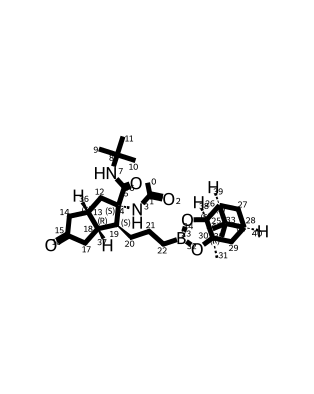 CC(=O)N[C@@]1(C(=O)NC(C)(C)C)C[C@H]2CC(=O)C[C@H]2[C@@H]1CCCB1O[C@H]2[C@H]3C[C@@H](C[C@@]2(C)O1)C3(C)C